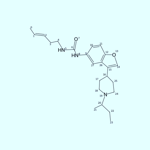 CC=CCCNC(=O)Nc1ccc2occ(C3CCN(C(C)CC)CC3)c2c1